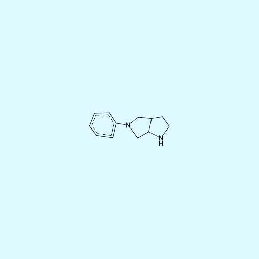 c1ccc(N2CC3CCNC3C2)cc1